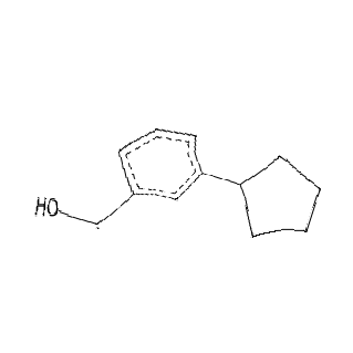 O[CH]c1cccc(C2CCCC2)c1